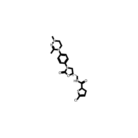 CC1=NN(C)CCN1c1ccc(N2C[C@H](CNC(=O)C3CC=C(Cl)S3)OC2=O)cc1